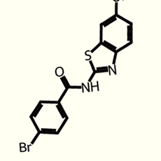 COc1ccc2nc(NC(=O)c3ccc(Br)cc3)sc2c1